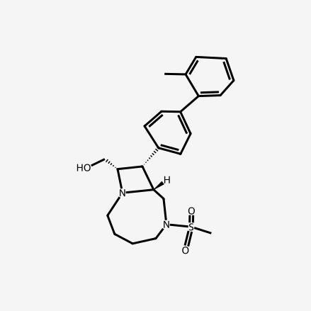 Cc1ccccc1-c1ccc([C@H]2[C@@H](CO)N3CCCCN(S(C)(=O)=O)C[C@@H]23)cc1